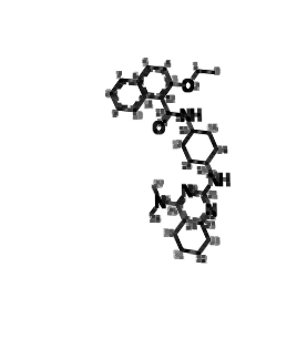 CCOc1ccc2ccccc2c1C(=O)NC1CCC(Nc2nc3c(c(N(C)C)n2)CCCC3)CC1